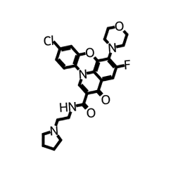 O=C(NCCN1CCCC1)c1cn2c3c(c(N4CCOCC4)c(F)cc3c1=O)Oc1cc(Cl)ccc1-2